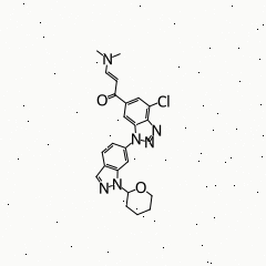 CN(C)C=CC(=O)c1cc(Cl)c2nnn(-c3ccc4cnn(C5CCCCO5)c4c3)c2c1